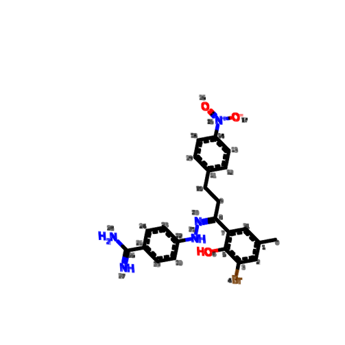 Cc1cc(Br)c(O)c(/C(CCc2ccc([N+](=O)[O-])cc2)=N\Nc2ccc(C(=N)N)cc2)c1